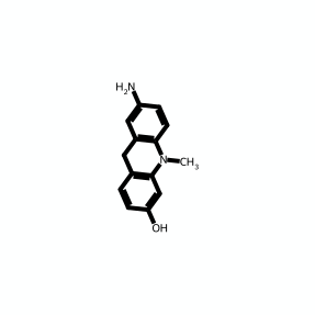 CN1c2ccc(N)cc2Cc2ccc(O)cc21